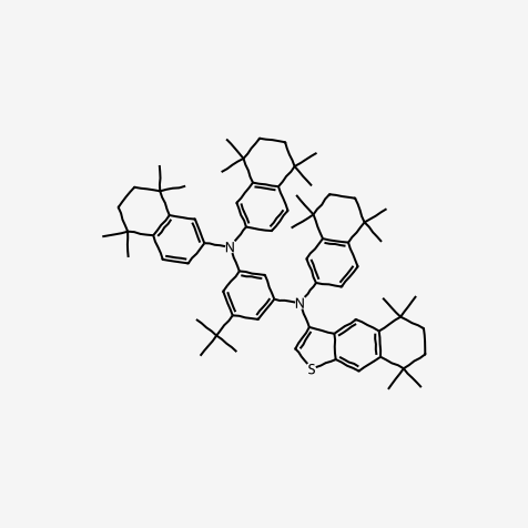 CC(C)(C)c1cc(N(c2ccc3c(c2)C(C)(C)CCC3(C)C)c2ccc3c(c2)C(C)(C)CCC3(C)C)cc(N(c2ccc3c(c2)C(C)(C)CCC3(C)C)c2csc3cc4c(cc23)C(C)(C)CCC4(C)C)c1